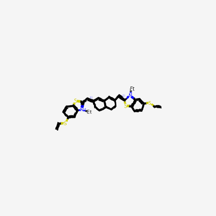 C=CSc1ccc2c(c1)N(CC)/C(=C/C1=CC3=C/C(=C/c4sc5ccc(SC=C)cc5[n+]4CC)CCC3CC1)S2